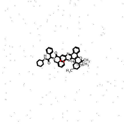 C[C@H]1CC[C@H]2[C@H](C1)c1c(c3ccccc3c3nc4cc(C(=O)N(Cc5ccccc5)C(C(=O)NC5CCCCC5)c5ccccc5)ccc4nc13)OC2(C)C